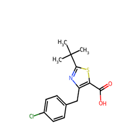 CC(C)(C)c1nc(Cc2ccc(Cl)cc2)c(C(=O)O)s1